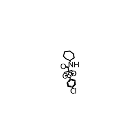 CC(C)(C(=O)NC1CCCCCC1)S(=O)(=O)c1ccc(Cl)cc1